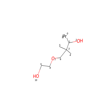 CC(C)C(O)C(C)(C)COCCO